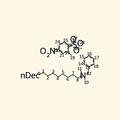 CCCCCCCCCCCCCCCCCC[N+](C)(C)Cc1ccccc1.Cc1cc([N+](=O)[O-])ccc1S(=O)(=O)[O-]